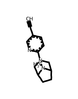 C#Cc1ccc(N2CC3CCC(C2)N3C)nc1